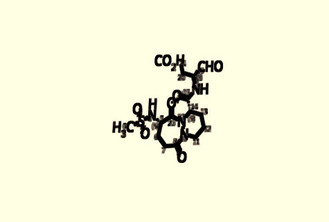 CS(=O)(=O)N[C@H]1CCC(=O)N2CCC[C@@H](C(=O)N[C@H](C=O)CC(=O)O)N2C1=O